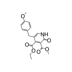 CCOC(=O)c1c(Cc2ccc(OC)cc2)c[nH]c(=O)c1C(=O)OC